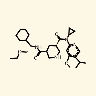 CCOC[C@@H](NC(=O)[C@@H]1CNC[C@H](C(=O)N(c2cc(OC)c(C(C)C)cn2)C2CC2)C1)C1CCCCC1